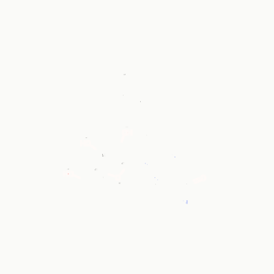 NC(=O)c1nc(C#Cc2ccsc2)n([C@@H]2O[C@H](CO)C(O)C2O)n1